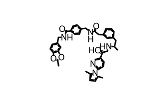 Cc1ccc(C)n1-c1ccc([C@@H](O)CNC(C)Cc2cccc(CC(=O)NCc3ccc(C(=O)NCc4ccc5c(c4)OC(C)O5)cc3)c2)cn1